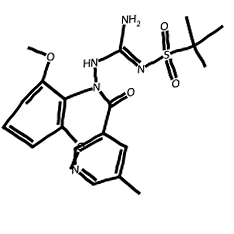 COc1cccc(OC)c1N(NC(N)=NS(=O)(=O)C(C)(C)C)C(=O)c1cncc(C)c1